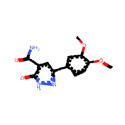 COc1ccc(-c2cc(C(N)=O)c(=O)[nH]n2)cc1OC